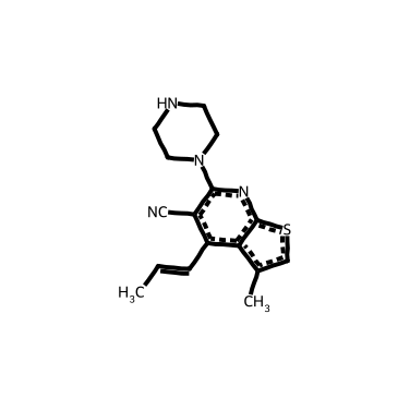 CC=Cc1c(C#N)c(N2CCNCC2)nc2scc(C)c12